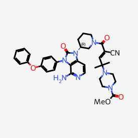 COC(=O)N1CCN(C(C)(C)C=C(C#N)C(=O)N2CCC[C@@H](n3c(=O)n(-c4ccc(Oc5ccccc5)cc4)c4c(N)nccc43)C2)CC1